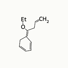 C=CCC(OCC)=C1C=CC=CC1